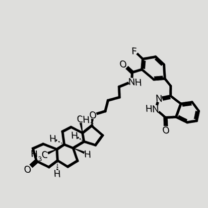 C[C@]12CCC(=O)C[C@@H]1CC[C@@H]1[C@@H]2CC[C@]2(C)[C@@H](OCCCCNC(=O)c3cc(Cc4n[nH]c(=O)c5ccccc45)ccc3F)CC[C@@H]12